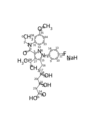 CCN(C(=O)c1nn(-c2ccc(F)cc2)c(CC[C@@H](O)C[C@@H](O)CC(=O)O)c1C(C)C)c1cccc(OC)c1.[NaH]